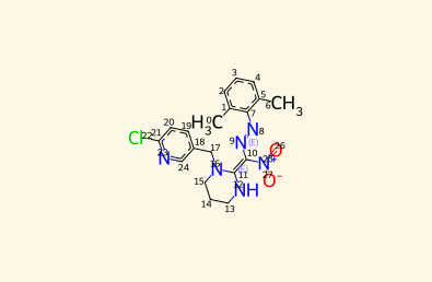 Cc1cccc(C)c1/N=N/C(=C1/NCCCN1Cc1ccc(Cl)nc1)[N+](=O)[O-]